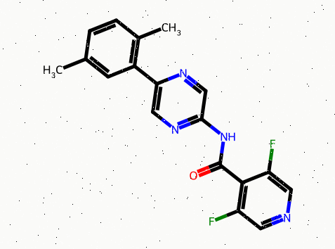 Cc1ccc(C)c(-c2cnc(NC(=O)c3c(F)cncc3F)cn2)c1